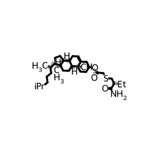 CC[C@@H](CSCC(=O)OC1CC[C@@]2(C)C(=CC[C@H]3[C@@H]4CC[C@H]([C@H](C)CCCC(C)C)[C@@]4(C)CC[C@@H]32)C1)C(N)=O